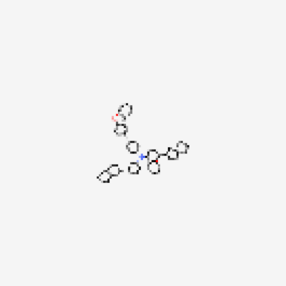 c1ccc(-c2ccc(-c3ccc4ccccc4c3)cc2N(c2ccc(-c3ccc4ccccc4c3)cc2)c2ccc(-c3ccc4oc5ccccc5c4c3)cc2)cc1